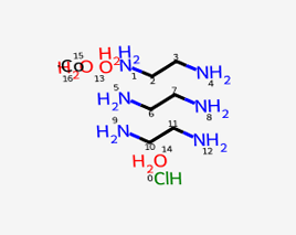 Cl.NCCN.NCCN.NCCN.O.O.O.[Co]